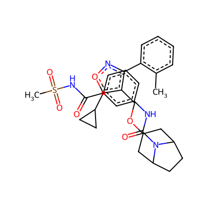 Cc1ccccc1-c1noc(C2CC2)c1COC1CC2CCC(C1)N2C(=O)Nc1cccc(C(=O)NS(C)(=O)=O)c1